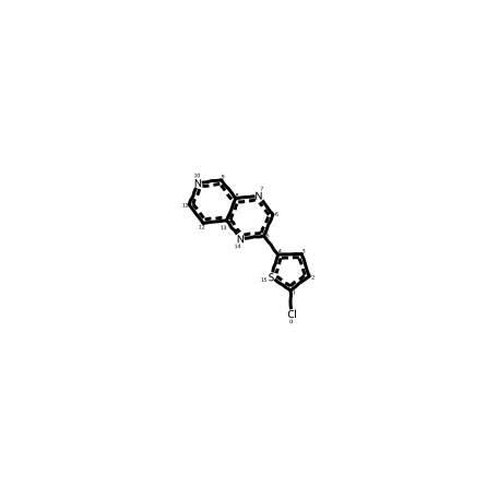 Clc1ccc(-c2cnc3cnccc3n2)s1